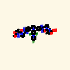 COC(=O)NC(C(=O)N1CCC[C@H]1c1nc2cc([C@H]3CC[C@H](c4ccc5[nH]c([C@@H]6CCCN6C(=O)C(C(C)C)N(C)C(=O)O)nc5c4)N3c3cc(F)c(N4CCC(F)CC4)c(F)c3)ccc2[nH]1)C(C)C